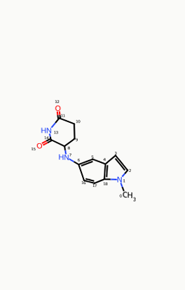 Cn1ccc2cc(NC3CCC(=O)NC3=O)ccc21